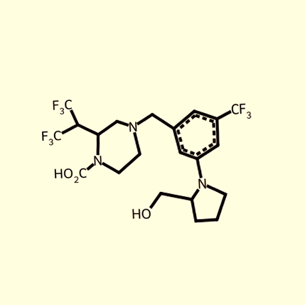 O=C(O)N1CCN(Cc2cc(N3CCCC3CO)cc(C(F)(F)F)c2)CC1C(C(F)(F)F)C(F)(F)F